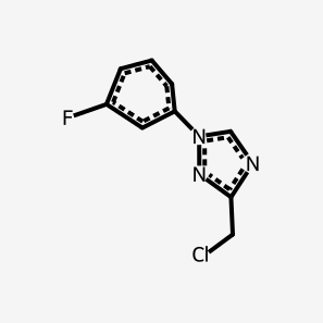 Fc1cccc(-n2cnc(CCl)n2)c1